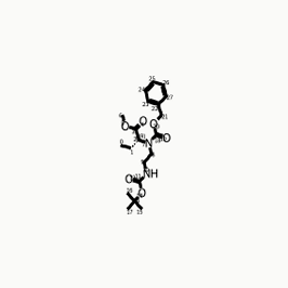 CC[C@H](C(=O)OC)N(CCNC(=O)OC(C)(C)C)C(=O)OCc1ccccc1